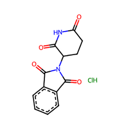 Cl.O=C1CCC(N2C(=O)c3ccccc3C2=O)C(=O)N1